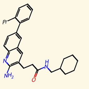 CC(C)c1ccccc1-c1ccc2nc(N)c(CCC(=O)NCC3CCCCC3)cc2c1